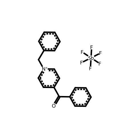 O=C(c1ccccc1)c1cc[n+](Cc2ccccc2)cc1.[F][Sb-]([F])([F])([F])([F])[F]